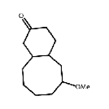 COC1CCCCC2CC(=O)CCC2C1